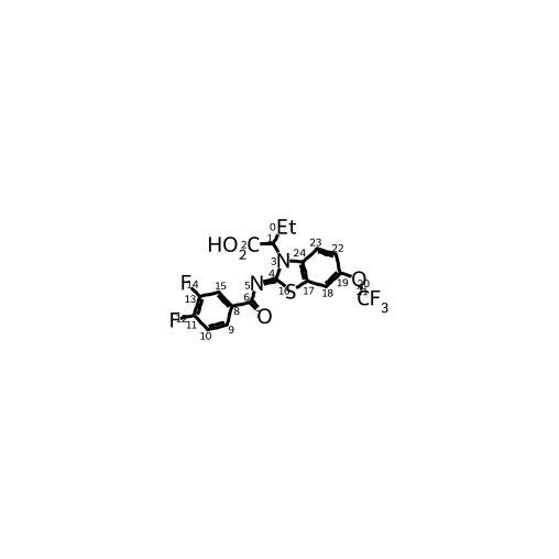 CCC(C(=O)O)n1c(=NC(=O)c2ccc(F)c(F)c2)sc2cc(OC(F)(F)F)ccc21